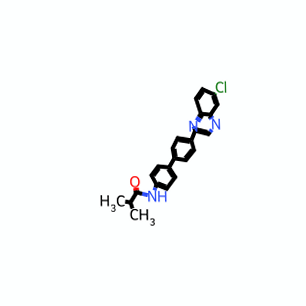 CC(C)C(=O)Nc1ccc(-c2ccc(-c3cnc4cc(Cl)ccc4n3)cc2)cc1